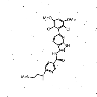 CNCCNc1ccc(C(=O)Nc2n[nH]c3nc(-c4c(Cl)c(OC)cc(OC)c4Cl)ccc23)cn1